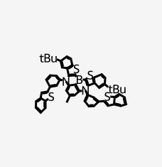 Cc1cc2c3c(c1)N(c1cccc(-c4cc5ccccc5s4)c1)c1c(sc4ccc(C(C)(C)C)cc14)B3c1sc3ccc(C(C)(C)C)cc3c1N2c1cccc(-c2cc3ccccc3s2)c1